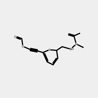 C=C(C)N(C)BCC1C=CC=C(C#COC=O)S1